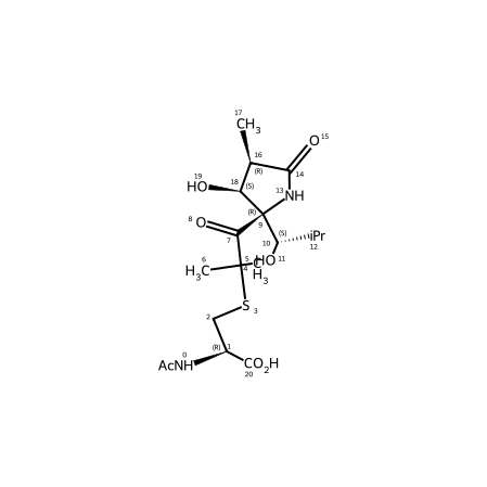 CC(=O)N[C@@H](CSC(C)(C)C(=O)[C@]1([C@@H](O)C(C)C)NC(=O)[C@H](C)[C@@H]1O)C(=O)O